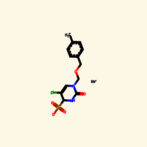 Cc1ccc(COCN2C=C(Cl)C(S(=O)(=O)[O-])NC2=O)cc1.[Na+]